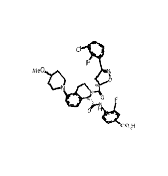 COC1CCN(c2cccc3c2CCN(C(=O)[C@H]2CC(c4cccc(Cl)c4F)=NO2)[C@@H]3C(=O)Nc2ccc(C(=O)O)cc2F)CC1